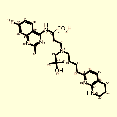 Cc1nc(N[C@@H](CCN(CCCCc2ccc3c(n2)NCCC3)CC(C)(C)O)C(=O)O)c2ccc(F)cc2n1